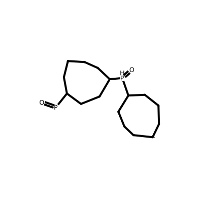 O=PC1CCCCC([PH](=O)C2CCC[CH]CCC2)CC1